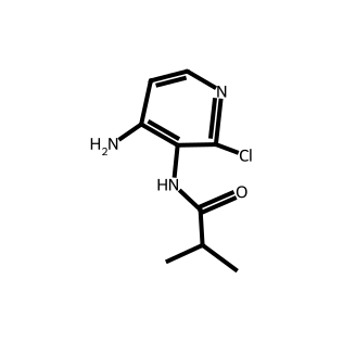 CC(C)C(=O)Nc1c(N)ccnc1Cl